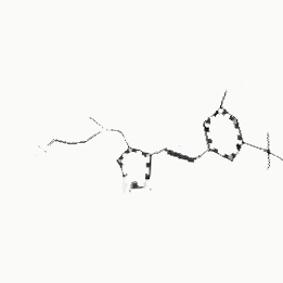 CN(CCN)Cc1c[nH]nc1/C=C/c1cc(C(C)(F)F)cc(C(F)(F)F)c1